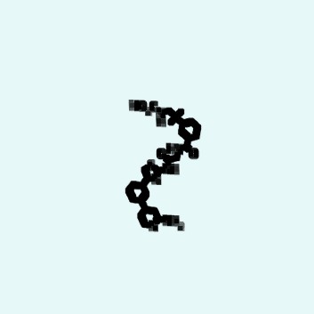 CC(C)(CNC(=O)O)c1cccc(C(=O)NCC(=O)Nc2nc(-c3cccc(-c4ccnc(N)c4)c3)cs2)c1